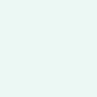 O=c1oc2cc(O)c(F)cc2cc1-c1nc2ccccc2s1